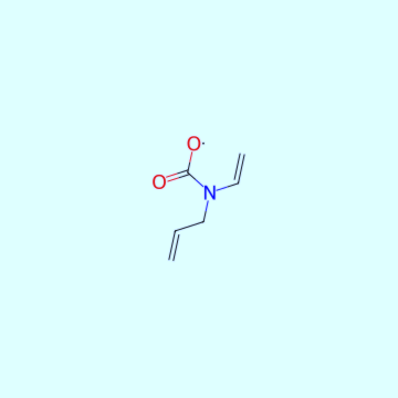 C=CCN(C=C)C([O])=O